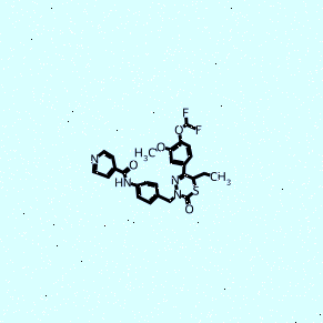 CCC1SC(=O)N(Cc2ccc(NC(=O)c3ccncc3)cc2)N=C1c1ccc(OC(F)F)c(OC)c1